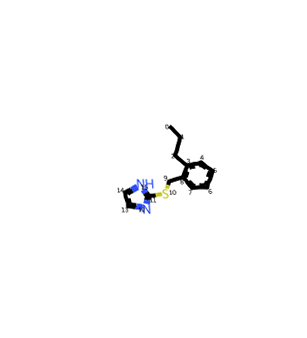 CCCc1ccccc1CSc1ncc[nH]1